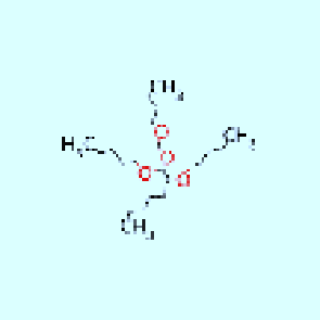 CCCCCOC(CCCCC)=C(OCCCCC)OCOCCCC